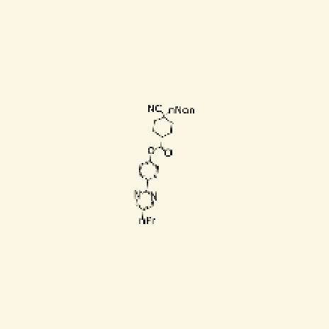 CCCCCCCCC[C@]1(C#N)CC[C@H](C(=O)Oc2ccc(-c3ncc(CCC)cn3)cc2)CC1